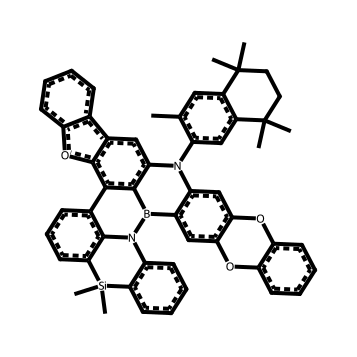 Cc1cc2c(cc1N1c3cc4c(cc3B3c5c1cc1c(oc6ccccc61)c5-c1cccc5c1N3c1ccccc1[Si]5(C)C)Oc1ccccc1O4)C(C)(C)CCC2(C)C